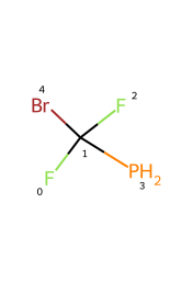 FC(F)(P)Br